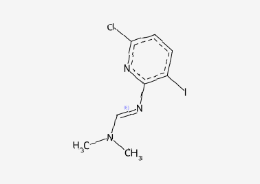 CN(C)/C=N/c1nc(Cl)ccc1I